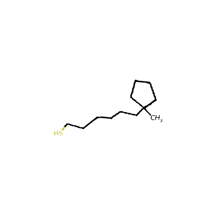 CC1(CCCCCCS)CCCC1